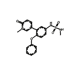 CNS(=O)(=O)Nc1ccc(Oc2ccccc2)c(-c2ccc(=O)n(C)c2)c1